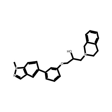 Cn1ncc2cc(-c3cccc(OCC(O)CN4CCc5ccccc5C4)c3)ccc21